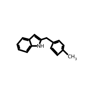 Cc1ccc(Cc2cc3ccccc3[nH]2)cc1